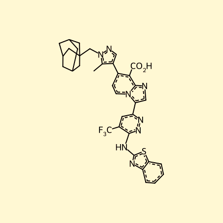 Cc1c(-c2ccn3c(-c4cc(C(F)(F)F)c(Nc5nc6ccccc6s5)nn4)cnc3c2C(=O)O)cnn1CC12CC3CC(CC(C3)C1)C2